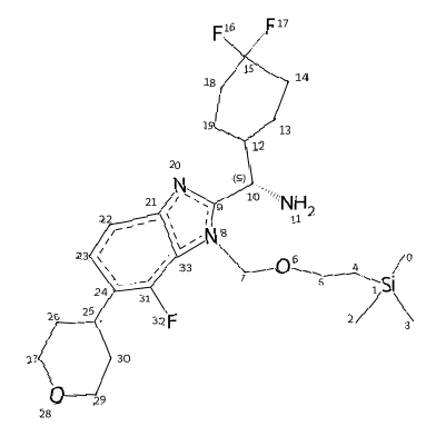 C[Si](C)(C)CCOCn1c([C@@H](N)C2CCC(F)(F)CC2)nc2ccc([C]3CCOCC3)c(F)c21